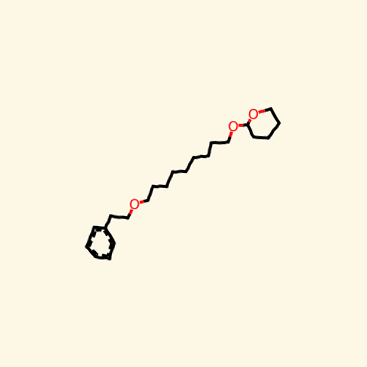 c1ccc(CCOCCCCCCCCCOC2CCCCO2)cc1